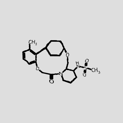 Cc1cccc2c1C1CCC(CC1)OCC1C(NS(C)(=O)=O)CCCN1C(=O)CO2